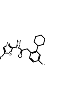 [CH2]c1ccc(CC(=O)Nc2ncc(C(C)C)s2)c(C2CCCCC2)c1